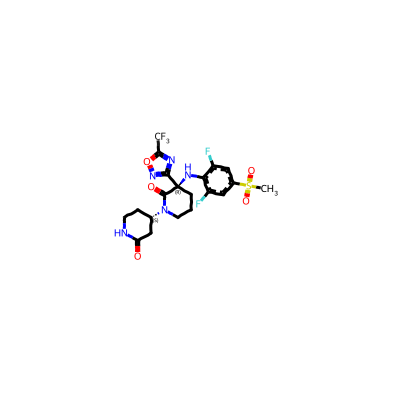 CS(=O)(=O)c1cc(F)c(N[C@@]2(c3noc(C(F)(F)F)n3)CCCN([C@H]3CCNC(=O)C3)C2=O)c(F)c1